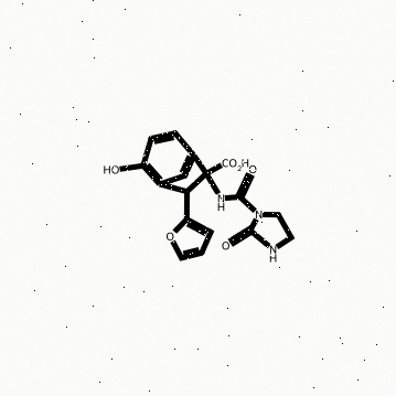 O=C1NCCN1C(=O)NC1(C(=O)O)c2ccc(O)c(c2)C1c1ccco1